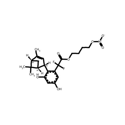 CC1=C[C@H](c2c(O)cc(O)cc2C(F)(F)C(=O)OCCCCO[N+](=O)[O-])[C@H]2C[C@@H]1C2(C)C